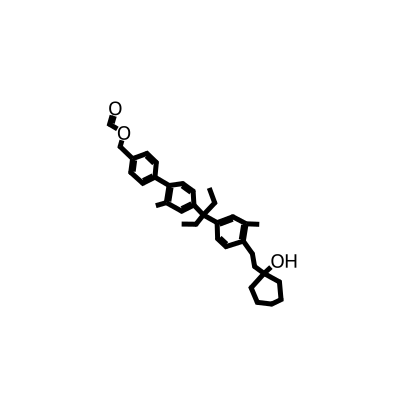 CCC(CC)(c1ccc(CCC2(O)CCCCC2)c(C)c1)c1ccc(-c2ccc(COC=O)cc2)c(C)c1